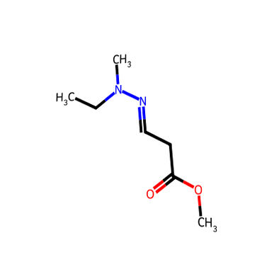 CCN(C)/N=C/CC(=O)OC